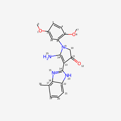 COc1ccc(OC)c(N2CC(=O)C(c3nc4c(C)cccc4[nH]3)=C2N)c1